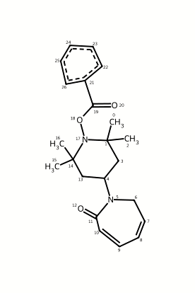 CC1(C)CC(N2CC=CC=CC2=O)CC(C)(C)N1OC(=O)c1ccccc1